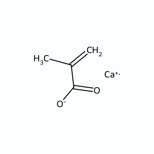 C=C(C)C(=O)[O-].[Ca+]